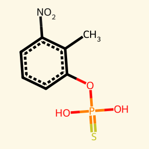 Cc1c(OP(O)(O)=S)cccc1[N+](=O)[O-]